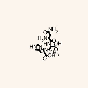 C[C@@H](N[C@@H](Cc1c[nH]cn1)C(=O)O)[C@H](NC(=O)[C@H](N)CC(N)=O)C(=O)O